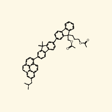 CC(=O)OCCCC1(COC(C)=O)c2ccccc2-c2ccc(-c3ccc4c(c3)C(C)(C)c3cc(-c5ccc6ccc7cc(CC(C)C)cc8ccc5c6c78)ccc3-4)cc21